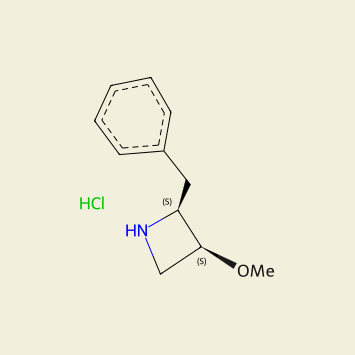 CO[C@H]1CN[C@H]1Cc1ccccc1.Cl